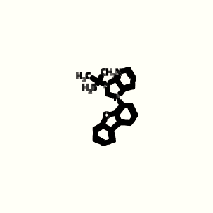 BC(C)(C)N1CN(c2cccc3c2oc2ccccc23)c2cccnc21